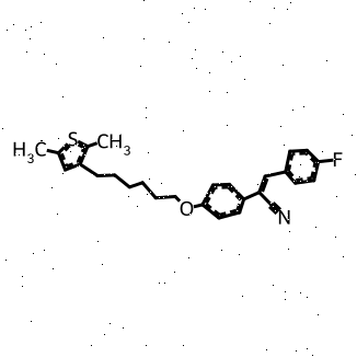 Cc1cc(CCCCCCOc2ccc(/C(C#N)=C/c3ccc(F)cc3)cc2)c(C)s1